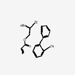 C=CC(=O)OCC(CC)CCCC.N#Cc1ccccc1-c1ccccc1